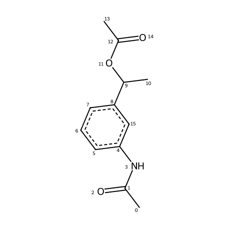 CC(=O)Nc1cccc(C(C)OC(C)=O)c1